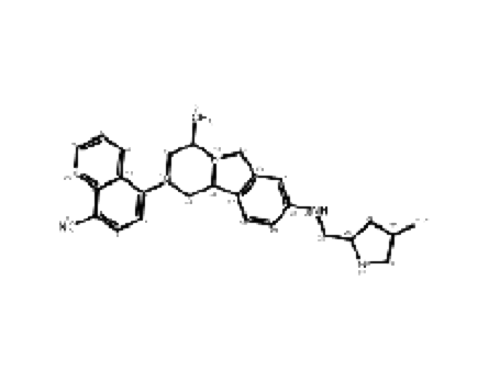 CC1CN(c2ccc(C#N)c3ncccc23)CC2c3ccc(NCC4CC(F)CN4)cc3CN12